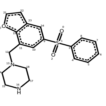 O=S(=O)(c1ccccc1)c1cc(CN2CCNCC2)c2occc2c1